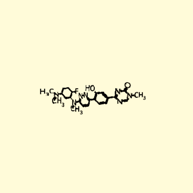 CN(C)C1CCC(F)[C@H](N(C)c2ccc(-c3ccc(-c4ncn(C)c(=O)n4)cc3O)nn2)C1